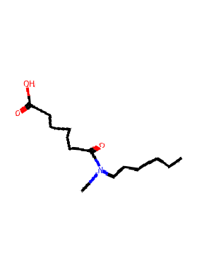 CCCCCCN(C)C(=O)CCCCC(=O)O